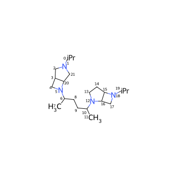 CC(C)N1CC2CN(C(C)CCC(C)N3CCC4C3CN4C(C)C)C2C1